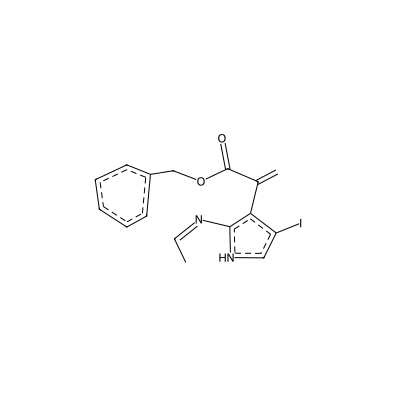 C=C(C(=O)OCc1ccccc1)c1c(I)c[nH]c1/N=C\C